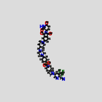 N#Cc1ncc(N2CCC3(CCN(S(=O)(=O)c4ccc(N5CCN(CC6CCN(c7ccc8c(c7)C(=O)N(C7CCC(=O)NC7=O)C8=O)CC6)CC5)cc4)CC3)C2)cc1C(F)(F)F